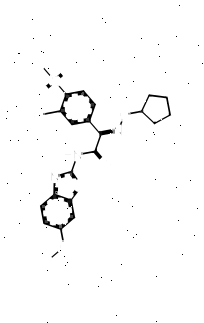 COc1ccc2nc(NC(=O)/C(=N/OC3CCCC3)c3ccc(S(C)(=O)=O)c(Cl)c3)sc2c1